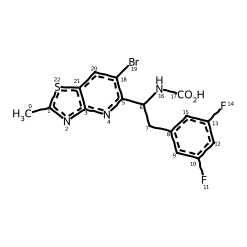 Cc1nc2nc(C(Cc3cc(F)cc(F)c3)NC(=O)O)c(Br)cc2s1